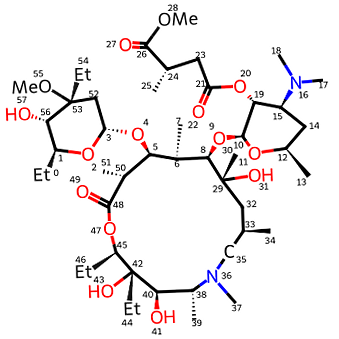 CC[C@@H]1O[C@@H](O[C@H]2[C@H](C)[C@@H](O[C@@H]3O[C@H](C)C[C@H](N(C)C)[C@H]3OC(=O)C[C@H](C)C(=O)OC)[C@](C)(O)C[C@@H](C)CN(C)[C@H](C)[C@@H](O)[C@@](O)(CC)[C@@H](CC)OC(=O)[C@@H]2C)C[C@@](CC)(OC)[C@H]1O